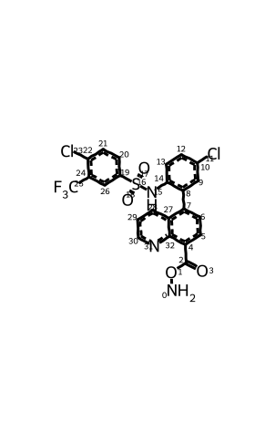 NOC(=O)c1ccc(-c2cc(Cl)ccc2NS(=O)(=O)c2ccc(Cl)c(C(F)(F)F)c2)c2cccnc12